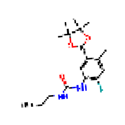 Cc1cc(F)c(NC(=O)NCCC(C)(C)C)cc1B1OC(C)(C)C(C)(C)O1